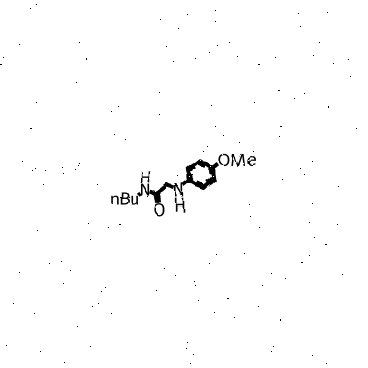 CCCCNC(=O)CNc1ccc(OC)cc1